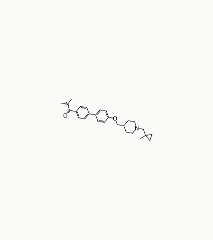 CN(C)C(=O)c1ccc(-c2ccc(OCC3CCN(CC4(C)CC4)CC3)cc2)cc1